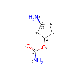 NC(=O)OC1CC[C@H](N)C1